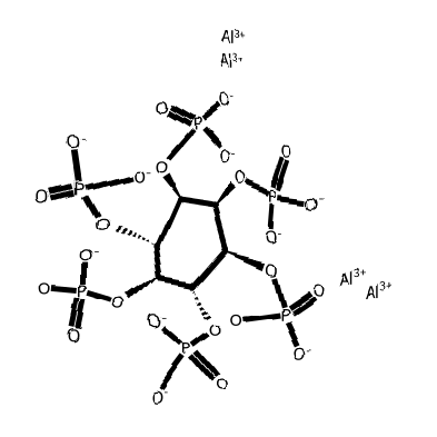 O=P([O-])([O-])O[C@H]1[C@H](OP(=O)([O-])[O-])[C@@H](OP(=O)([O-])[O-])[C@H](OP(=O)([O-])[O-])[C@@H](OP(=O)([O-])[O-])[C@H]1OP(=O)([O-])[O-].[Al+3].[Al+3].[Al+3].[Al+3]